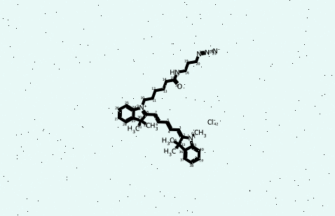 CN1/C(=C/C=C/C=C/C2=[N+](CCCCCC(=O)NCCCN=[N+]=[N-])c3ccccc3C2(C)C)C(C)(C)c2ccccc21.[Cl-]